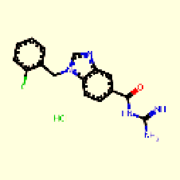 Cl.N=C(N)NC(=O)c1ccc2c(c1)ncn2Cc1ccccc1Cl